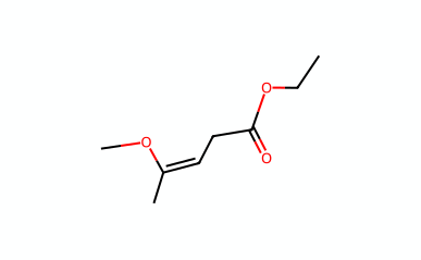 CCOC(=O)C/C=C(/C)OC